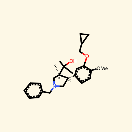 COc1ccc([C@@H]2CN(Cc3ccccc3)C[C@@]2(C)C(C)(C)O)cc1OCC1CC1